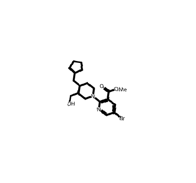 COC(=O)c1cc(Br)cnc1N1CCC(CC2CCCC2)C(CO)C1